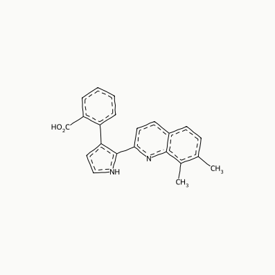 Cc1ccc2ccc(-c3[nH]ccc3-c3ccccc3C(=O)O)nc2c1C